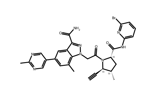 C#C[C@@H]1[C@@H](C)C[C@@H](C(=O)Nc2cccc(Br)n2)N1C(=O)Cn1nc(C(N)=O)c2cc(-c3cnc(C)nc3)cc(C)c21